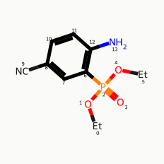 CCOP(=O)(OCC)c1cc(C#N)ccc1N